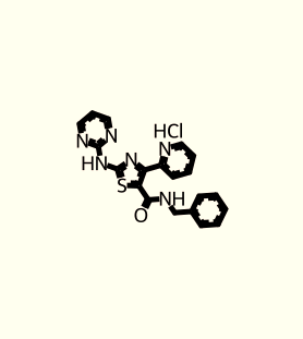 Cl.O=C(NCc1ccccc1)c1sc(Nc2ncccn2)nc1-c1ccccn1